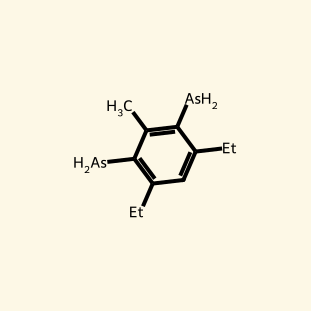 CCc1cc(CC)c([AsH2])c(C)c1[AsH2]